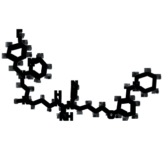 CN(CCCNC(=N)N(C#N)CCCCOc1cccc(CN2CCCCC2)c1)CCN(Cc1ccc(F)cc1)c1ccccn1